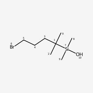 CC(C)(CCCBr)[Si](C)(C)O